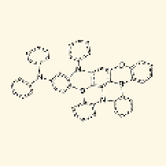 c1ccc(N(c2ccccc2)c2ccc3c(c2)N(c2ccccc2)c2cc4c5c6c2B3c2ccccc2N6c2ccccc2B5c2ccccc2O4)cc1